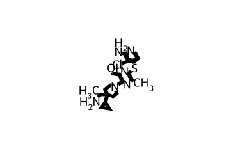 Cc1nc(N2CCC(C(C)N)(C3CC3)CC2)c(CO)nc1Sc1ccnc(N)c1Cl